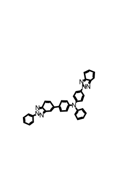 c1ccc(N(c2ccc(-c3ccc4nn(-c5ccccc5)nc4c3)cc2)c2ccc(-n3nc4ccccc4n3)cc2)cc1